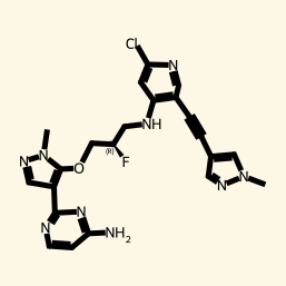 Cn1cc(C#Cc2cnc(Cl)cc2NC[C@@H](F)COc2c(-c3nccc(N)n3)cnn2C)cn1